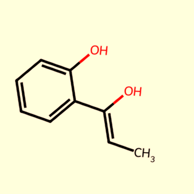 CC=C(O)c1ccccc1O